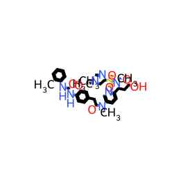 COc1cc(CC(=O)N(C)c2ccc(C(CC(=O)O)N(C)S(=O)(=O)C3CN(C)C=N3)nc2)ccc1NC(=O)Nc1ccccc1C